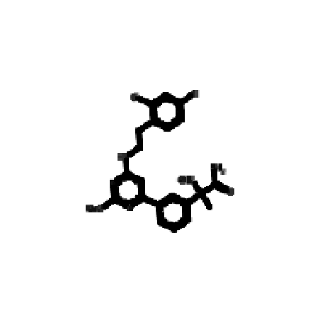 COc1nc(NCCc2ccc(Cl)cc2Cl)cc(-c2cccc(C(C)([C]=O)C(N)=O)c2)n1